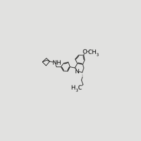 CCCC[C@H]1Cc2cc(OC)ccc2C(c2ccc(CNC34CC(C3)C4)cc2)=N1